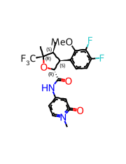 COc1c([C@H]2[C@H](C(=O)Nc3ccn(C)c(=O)c3)O[C@@](C)(C(F)(F)F)[C@H]2C)ccc(F)c1F